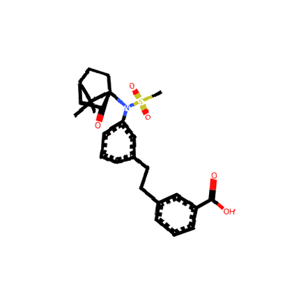 CC1(C)C2CCC1(N(c1cccc(CCc3cccc(C(=O)O)c3)c1)S(C)(=O)=O)C(=O)C2